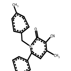 Cc1ccc(Cn2c(-c3ccccc3)cc(C)c(C#N)c2=O)cc1